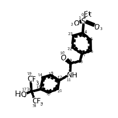 CCS(=O)(=O)c1ccc(CC(=O)Nc2ccc(C(O)(C(F)(F)F)C(F)(F)F)cc2)cc1